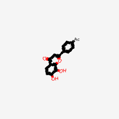 CC(=O)c1ccc(-c2cc(=O)c3ccc(O)c(O)c3o2)cc1